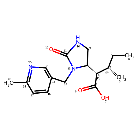 CC[C@H](C)[C@H](C(=O)O)C1CNC(=O)N1Cc1ccc(C)nc1